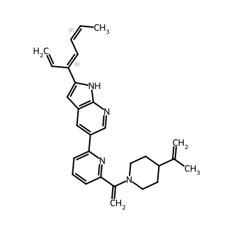 C=C/C(=C\C=C/C)c1cc2cc(-c3cccc(C(=C)N4CCC(C(=C)C)CC4)n3)cnc2[nH]1